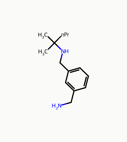 CCCC(C)(C)NCc1cccc(CN)c1